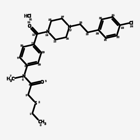 CCSCC(=O)N(C)c1ccc(C(=O)N2CCN(CCc3ccc(Cl)cc3)CC2)cc1.Cl